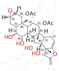 C=C1OC2=C[C@@H](C)[C@H]3[C@@H]([C@H](O)[C@H]4[C@H]5C([C@H](C)[C@H](OC(C)=O)[C@]34C)[C@]3(C)[C@H](C[C@@H]4O[C@@H]4[C@@H]3OC(C)=O)[C@H](O)[C@@H]5O)[C@@]2(C)[C@]1(C)O